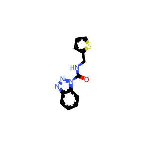 O=C(NCc1cccs1)n1nnc2ccccc21